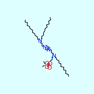 CCCCCCCCCCCCN(CCCCCCCCCCCC)CCCN1CCN(CCCN(CCCCCCCCCCCC)CCCOP(=O)(OCC)OCC)CC1